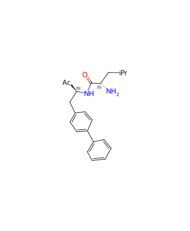 CC(=O)[C@H](Cc1ccc(-c2ccccc2)cc1)NC(=O)[C@@H](N)CC(C)C